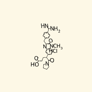 Cl.Cn1c(=O)c(Cc2ccc(C(=N)N)cc2)nc2cc(C(CCC(=O)O)C(=O)N3CCCC3)ccc21